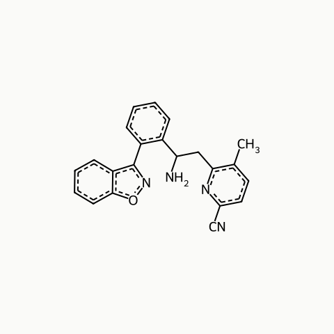 Cc1ccc(C#N)nc1CC(N)c1ccccc1-c1noc2ccccc12